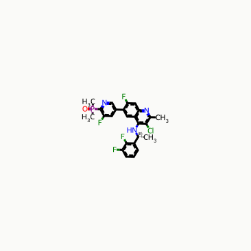 Cc1nc2cc(F)c(-c3cnc(P(C)(C)=O)c(F)c3)cc2c(N[C@H](C)c2cccc(F)c2F)c1Cl